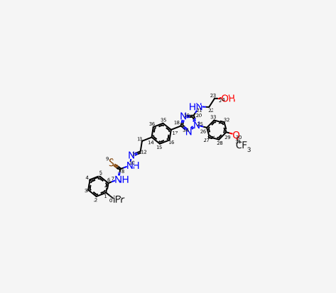 CC(C)c1ccccc1NC(=S)N/N=C/Cc1ccc(-c2nc(NCCO)n(-c3ccc(OC(F)(F)F)cc3)n2)cc1